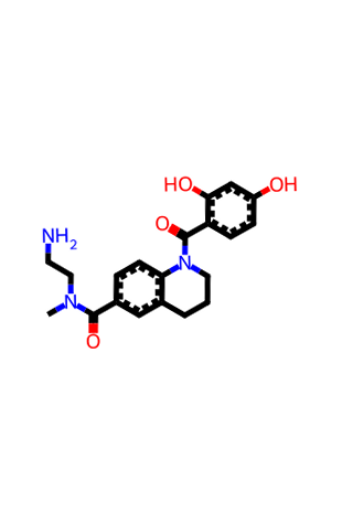 CN(CCN)C(=O)c1ccc2c(c1)CCCN2C(=O)c1ccc(O)cc1O